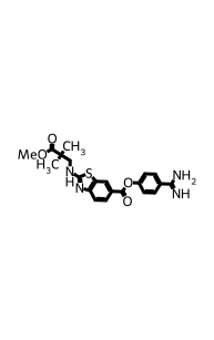 COC(=O)C(C)(C)CNc1nc2ccc(C(=O)Oc3ccc(C(=N)N)cc3)cc2s1